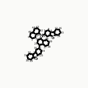 c1ccc2c(N(c3ccc4c(c3)sc3ccccc34)c3ccc(-c4ccc5sc6ccccc6c5c4)c4ccccc34)cccc2c1